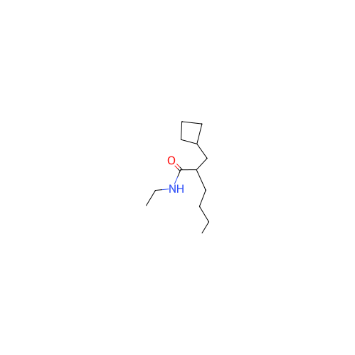 CCCCC(CC1CCC1)C(=O)NCC